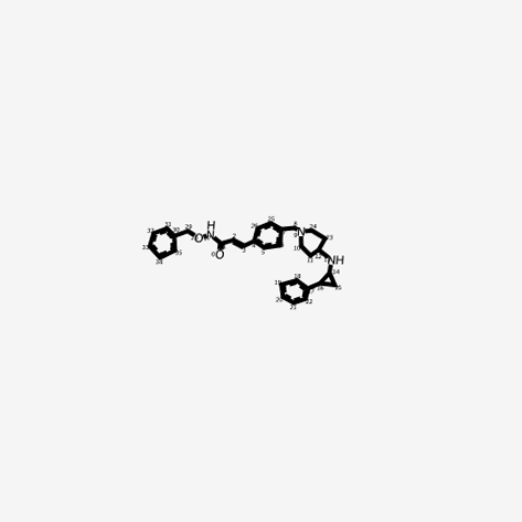 O=C(C=Cc1ccc(CN2CCC(NC3CC3c3ccccc3)CC2)cc1)NOCc1ccccc1